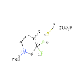 CC(C)(C)N1CCC(CSCC(=O)O)C(F)(F)C1